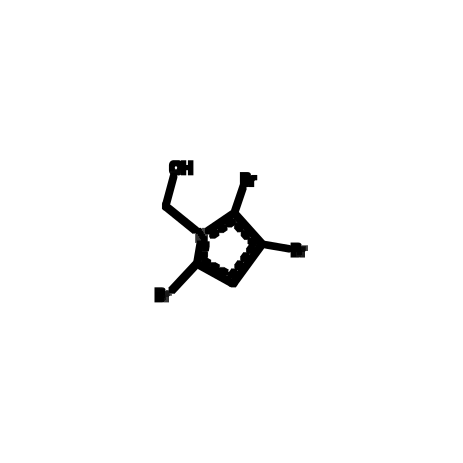 OCn1c(Br)cc(Br)c1Br